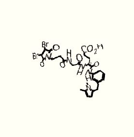 Cc1ccc(Cc2cccc(NC(=O)[C@H](CCC(=O)O)NC(=O)CNC(=O)CCN3C(=O)C(Br)=C(Br)C3=O)c2)n1C